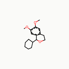 COc1cc2c(cc1OC)C(C1CCCCC1)OCC2